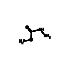 NNC(=O)OP